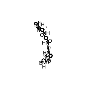 C[C@H]1CCCN1Cc1nc2cc(NC(=O)c3ccc(C(=O)NCCOCCNc4cccc5c4C(=O)N(C4CCC(=O)NC4=O)C5=O)cc3)ccc2[nH]1